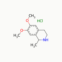 COc1cc2c(cc1OC)C(C)NCC2.Cl